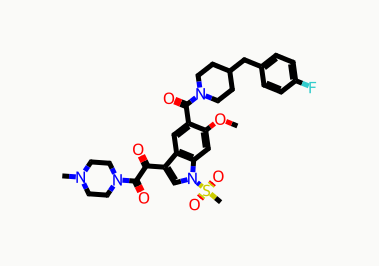 COc1cc2c(cc1C(=O)N1CCC(Cc3ccc(F)cc3)CC1)c(C(=O)C(=O)N1CCN(C)CC1)cn2S(C)(=O)=O